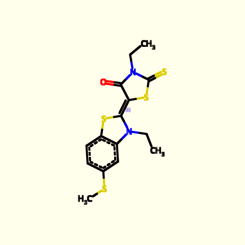 CCN1C(=O)/C(=C2\Sc3ccc(SC)cc3N2CC)SC1=S